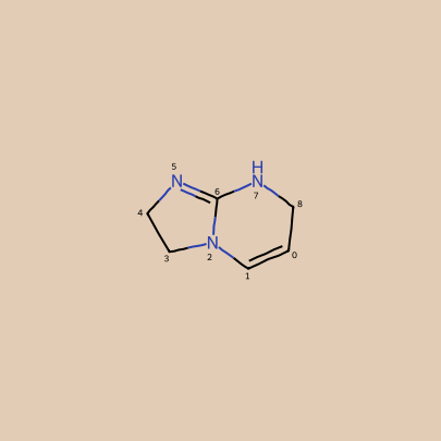 C1=CN2CCN=C2NC1